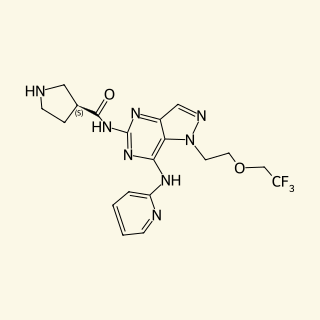 O=C(Nc1nc(Nc2ccccn2)c2c(cnn2CCOCC(F)(F)F)n1)[C@H]1CCNC1